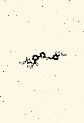 COc1ccc(CCOc2cccc(-c3cccc(C(=O)N(C)CCN(C)C)c3)n2)cc1OC